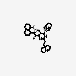 Fc1c(-c2cccc3cccc(F)c23)ncc2c(N3CC4CCC(C3)N4)nc(CCC34CCCN3CCC4)nc12